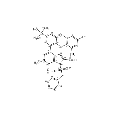 Cc1cc(F)cc(C)c1Oc1ccc(C(C)(C)O)cc1-c1cn(C)c(=O)c2c1cc(C(=O)O)n2S(=O)(=O)Cc1ccccc1